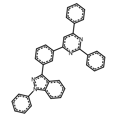 c1ccc(-c2cc(-c3cccc(-c4nn(-c5ccccc5)c5ccccc45)c3)nc(-c3ccccc3)n2)cc1